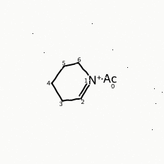 CC(=O)[N+]1=CCCCC1